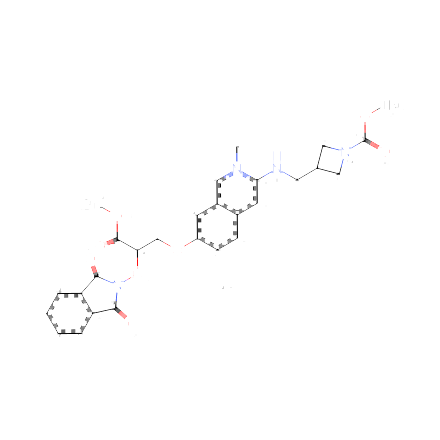 C[n+]1cc2cc(OCC(ON3C(=O)c4ccccc4C3=O)C(=O)OC(C)(C)C)ccc2cc1NCC1CN(C(=O)OC(C)(C)C)C1.[I-]